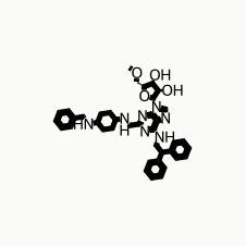 COC[C@H]1O[C@@H](n2cnc3c(NCC(c4ccccc4)c4ccccc4)nc(CNC4CCC(NCc5ccccc5)CC4)nc32)[C@H](O)[C@@H]1O